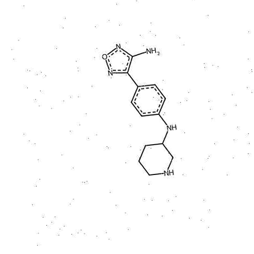 Nc1nonc1-c1ccc(NC2CCCNC2)cc1